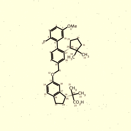 COc1ccc(F)c(-c2ccc(COc3ccc4c(c3)[C@H](C(C)(C)C(=O)O)CC4)cc2[C@@H]2CCCC2(C)C)c1